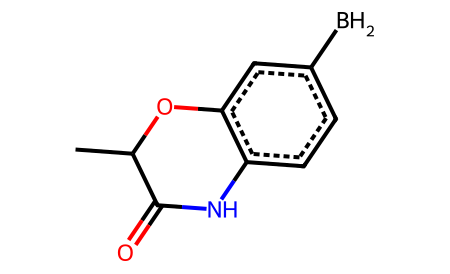 Bc1ccc2c(c1)OC(C)C(=O)N2